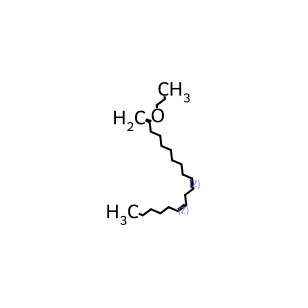 C=C(CCCCCCC/C=C\C/C=C\CCCCC)OCCC